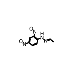 CC=NNc1ccc(N=O)cc1N=O